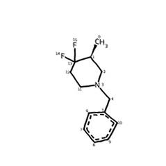 C[C@H]1CN(Cc2ccccc2)CCC1(F)F